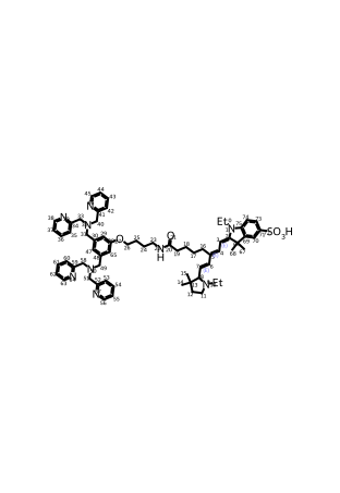 CCN1/C(=C/C=C(/C=C/C2N(CC)CCC2(C)C)CCCCC(=O)NCCCCOc2cc(CN(Cc3ccccn3)Cc3ccccn3)cc(CN(Cc3ccccn3)Cc3ccccn3)c2)C(C)(C)c2cc(S(=O)(=O)O)ccc21